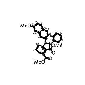 COC(=O)C1=C(C(=O)OC)C2(C(Nc3ccccc3)c3ccc4ccc(OC)cc4c3)C=CC1O2